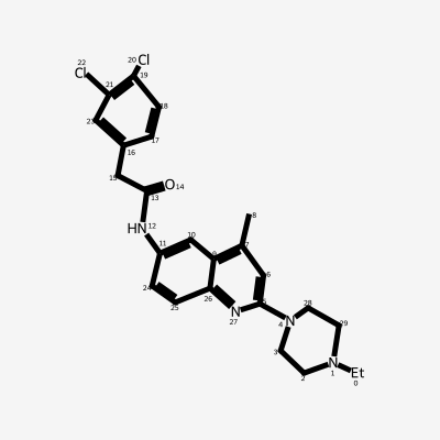 CCN1CCN(c2cc(C)c3cc(NC(=O)Cc4ccc(Cl)c(Cl)c4)ccc3n2)CC1